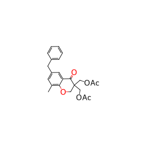 CC(=O)OCC1(COC(C)=O)COc2c(C)cc(Cc3ccccc3)cc2C1=O